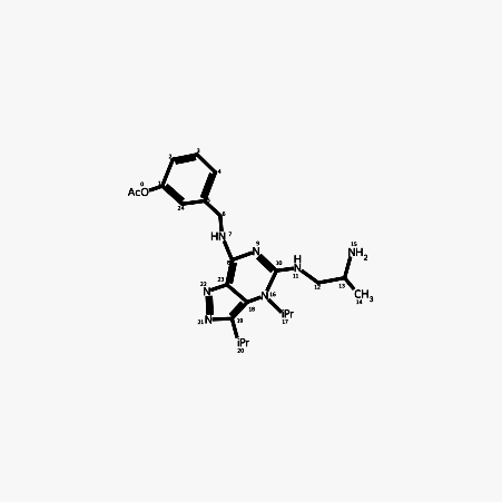 CC(=O)Oc1cccc(CNc2nc(NCC(C)N)n(C(C)C)c3c(C(C)C)nnc2-3)c1